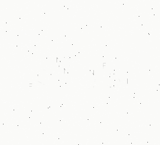 O=C(c1ccc(F)cc1F)N1CCCC(c2nc(-c3ccc(F)cc3F)no2)C1